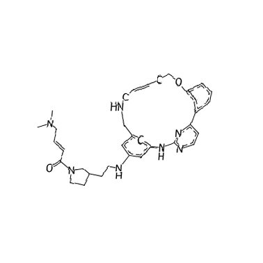 CN(C)C/C=C/C(=O)N1CCC(CCNc2cc3cc(c2)Nc2nccc(n2)-c2cccc(c2)OCC/C=C/CNC3)C1